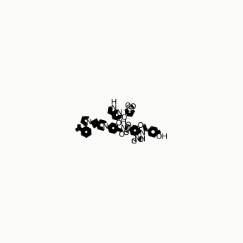 CC(C)c1ccccc1[C@H]1CCCN1C1CC2(CCN(c3ccc(C(=O)NS(=O)(=O)c4cc5c(c([N+](=O)[O-])c4)N[C@@H](C4CCC(C)(O)CC4)CO5)c(Oc4cc5cc[nH]c5nc4OC4CCS(=O)(=O)C4)c3)CC2)C1